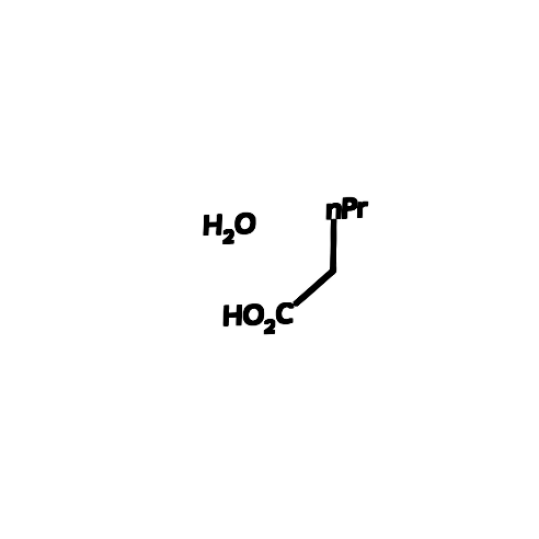 CCCCC(=O)O.O